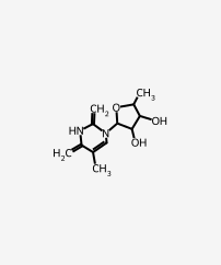 C=C1NC(=C)N(C2OC(C)C(O)C2O)C=C1C